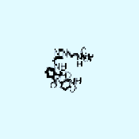 CC(C)(C)OC(=O)NCCCn1cnc(CNc2cccc3c2C(=O)N(C2CCC(=O)NC2=O)C3=O)c1